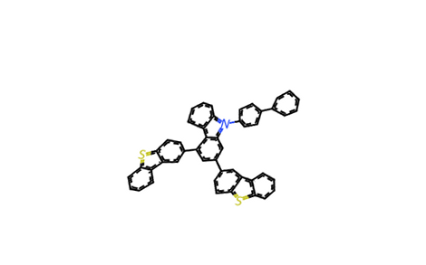 c1ccc(-c2ccc(-n3c4ccccc4c4c(-c5ccc6sc7ccccc7c6c5)cc(-c5ccc6sc7ccccc7c6c5)cc43)cc2)cc1